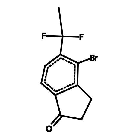 CC(F)(F)c1ccc2c(c1Br)CCC2=O